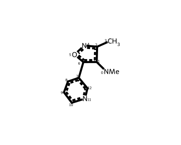 CNc1c(C)noc1-c1cccnc1